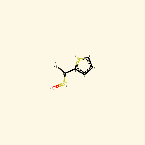 CCC([S+]=O)c1cccs1